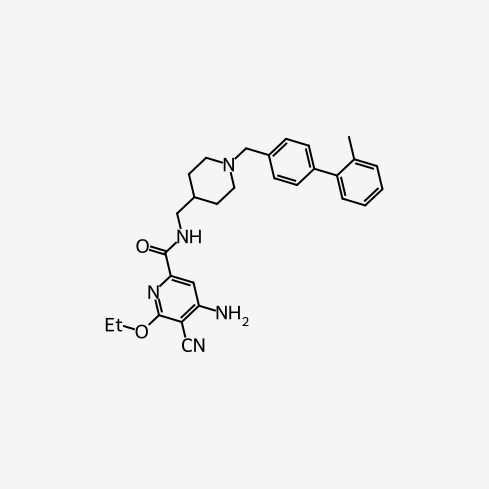 CCOc1nc(C(=O)NCC2CCN(Cc3ccc(-c4ccccc4C)cc3)CC2)cc(N)c1C#N